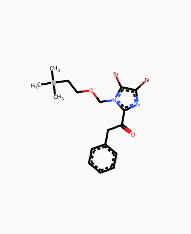 C[Si](C)(C)CCOCn1c(C(=O)Cc2ccccc2)nc(Br)c1Br